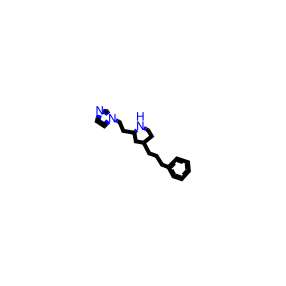 c1ccc(CCCC2CCNC(CCn3ccnc3)C2)cc1